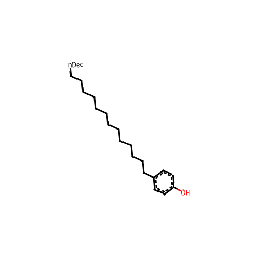 CCCCCCCCCCCCCCCCCCCCCCCc1ccc(O)cc1